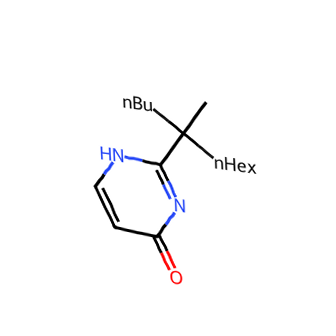 CCCCCCC(C)(CCCC)c1nc(=O)cc[nH]1